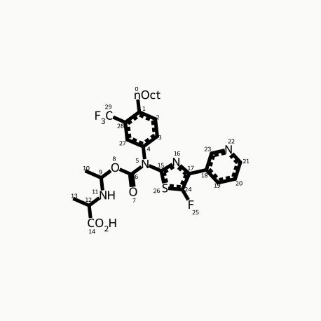 CCCCCCCCc1ccc(N(C(=O)OC(C)NC(C)C(=O)O)c2nc(-c3cccnc3)c(F)s2)cc1C(F)(F)F